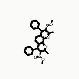 COSc1c(C)nc2c(ccc3c(-c4ccccc4)c(S(=O)OC)c(C)nc32)c1-c1ccccc1